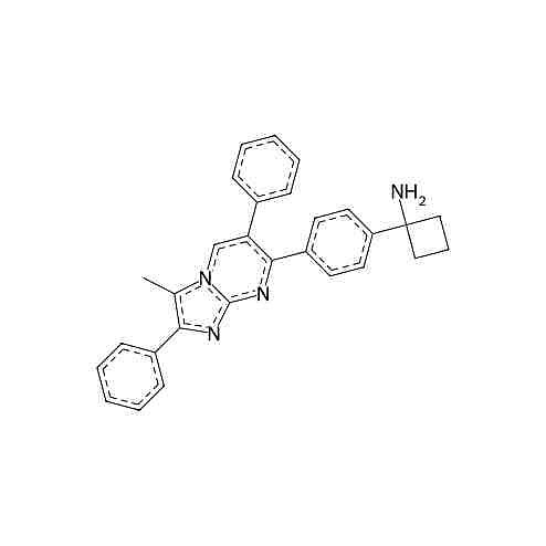 Cc1c(-c2ccccc2)nc2nc(-c3ccc(C4(N)CCC4)cc3)c(-c3ccccc3)cn12